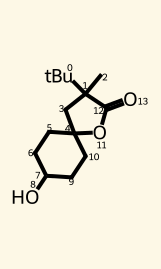 CC(C)(C)C1(C)CC2(CCC(O)CC2)OC1=O